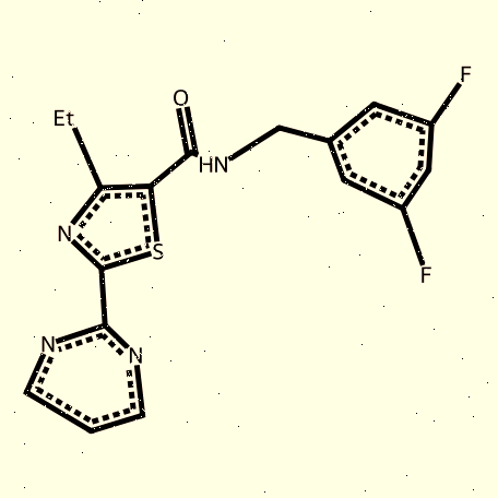 CCc1nc(-c2ncccn2)sc1C(=O)NCc1cc(F)cc(F)c1